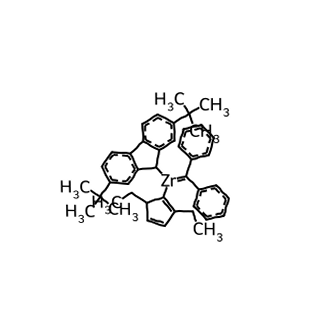 CCC1=[C]([Zr](=[C](c2ccccc2)c2ccccc2)[CH]2c3cc(C(C)(C)C)ccc3-c3ccc(C(C)(C)C)cc32)C(CC)C=C1